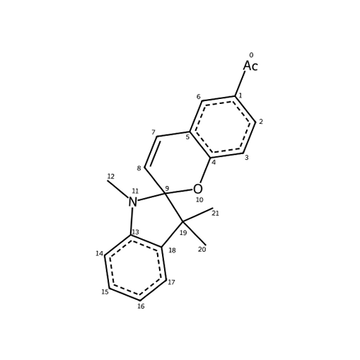 CC(=O)c1ccc2c(c1)C=CC1(O2)N(C)c2ccccc2C1(C)C